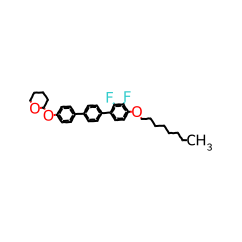 CCCCCCCCOc1ccc(-c2ccc(-c3ccc(OC4CCCCO4)cc3)cc2)c(F)c1F